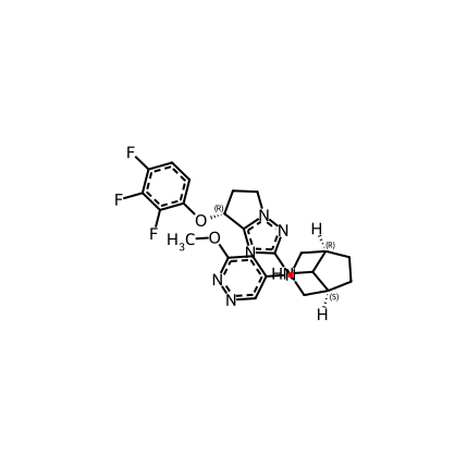 COc1cc(N2C[C@H]3CC[C@@H](C2)C3Nc2nc3n(n2)CC[C@H]3Oc2ccc(F)c(F)c2F)cnn1